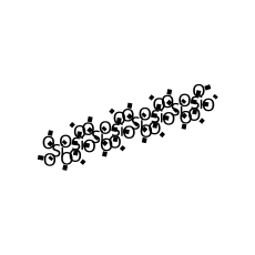 CO[Si](OC)(OC)O[Si](OC)(OC)O[Si](OC)(OC)O[Si](OC)(OC)O[Si](OC)(OC)O[Si](OC)(OC)O[Si](OC)(OC)O[Si](OC)(OC)OC